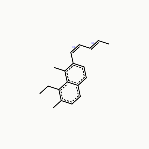 C/C=C/C=C\c1ccc2ccc(C)c(CC)c2c1C